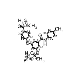 Cc1cnc(NC(=O)c2cc(Oc3cnc(C(=O)N(C)C)cn3)cc(OC(C)(C)OC(F)F)c2)cn1